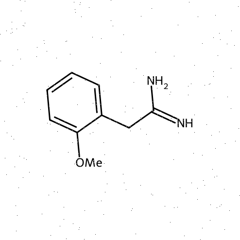 COc1ccccc1CC(=N)N